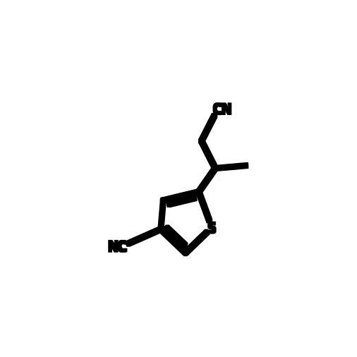 CC(CC#N)c1cc(C#N)cs1